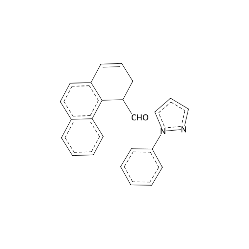 O=CC1CC=Cc2ccc3ccccc3c21.c1ccc(-n2cccn2)cc1